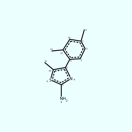 Cc1ccc(-c2nc(N)sc2C)c(C)c1